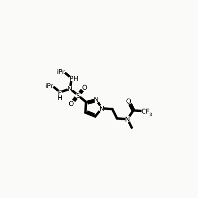 CC(C)PN(PC(C)C)S(=O)(=O)c1ccn(CCN(C)C(=O)C(F)(F)F)n1